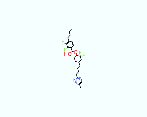 CCCCc1ccc(C(O)OC2CCC(CCCCc3ncc(C)cn3)CC2(F)F)c(F)c1F